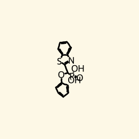 O=P(O)(O)C(Oc1ccccc1)c1nc2ccccc2s1